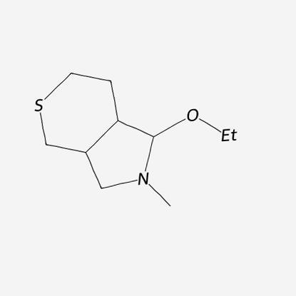 CCOC1C2CCSCC2CN1C